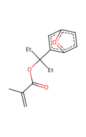 C=C(C)C(=O)OC(CC)(CC)c1cc2ccc1o2